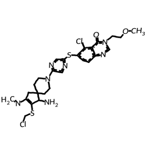 C=NC1=C(SCCl)C(N)C2(CCN(c3cnc(Sc4ccc5ncn(CCOC)c(=O)c5c4Cl)cn3)CC2)C1